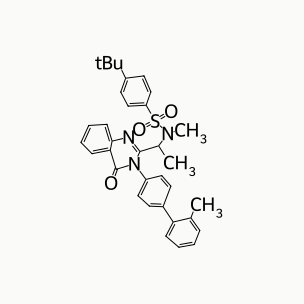 Cc1ccccc1-c1ccc(-n2c(C(C)N(C)S(=O)(=O)c3ccc(C(C)(C)C)cc3)nc3ccccc3c2=O)cc1